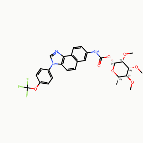 CO[C@@H]1[C@@H](OC)[C@H](C)O[C@H](OC(=O)Nc2ccc3c(ccc4c3ncn4-c3ccc(OC(F)(F)F)cc3)c2)[C@@H]1OC